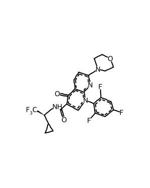 O=C(N[C@@H](C1CC1)C(F)(F)F)c1cn(-c2c(F)cc(F)cc2F)c2nc(N3CCOCC3)ccc2c1=O